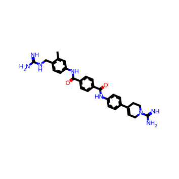 Cc1cc(NC(=O)c2ccc(C(=O)Nc3ccc(C4=CCN(C(=N)N)CC4)cc3)cc2)ccc1CNC(=N)N